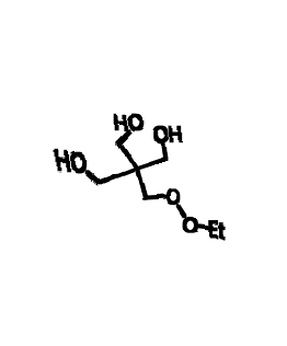 CCOOCC(CO)(CO)CO